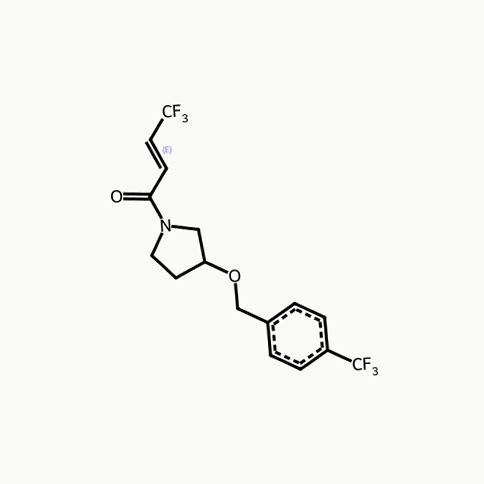 O=C(/C=C/C(F)(F)F)N1CCC(OCc2ccc(C(F)(F)F)cc2)C1